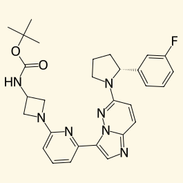 CC(C)(C)OC(=O)NC1CN(c2cccc(-c3cnc4ccc(N5CCC[C@@H]5c5cccc(F)c5)nn34)n2)C1